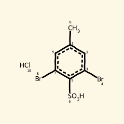 Cc1cc(Br)c(S(=O)(=O)O)c(Br)c1.Cl